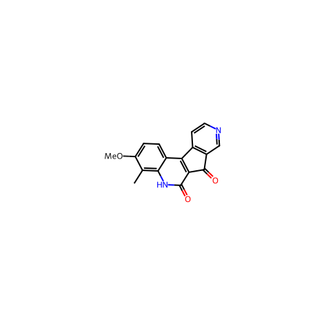 COc1ccc2c3c(c(=O)[nH]c2c1C)C(=O)c1cnccc1-3